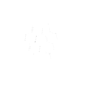 CCC(=O)Nc1ccc(Cl)c(Cl)c1.c1cc[n+]2c(c1)-c1cccc[n+]1CC2